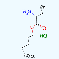 CCCCCCCCCCCCOC(=O)C(N)CC(C)C.Cl